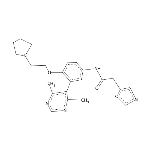 Cc1ncnc(C)c1-c1cc(NC(=O)Cc2cnco2)ccc1OCCN1CCCC1